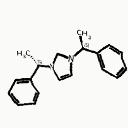 C[C@@H](c1ccccc1)N1C=CN([C@@H](C)c2ccccc2)C1